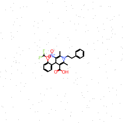 CC1=C(C(=O)O)C(c2ccccc2OC(F)F)C([N+](=O)[O-])=C(C)N1CCc1ccccc1